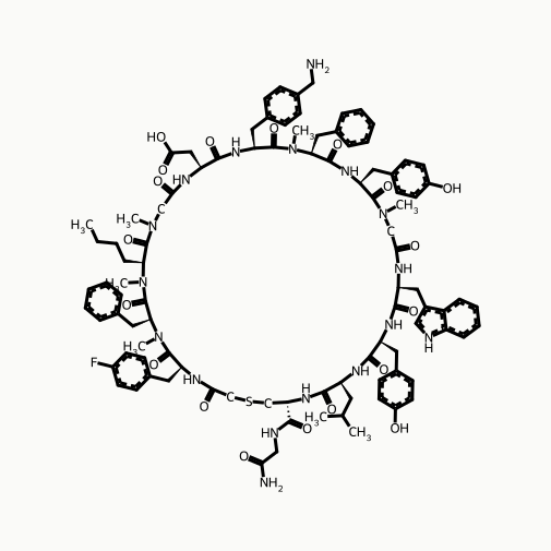 CCCC[C@H]1C(=O)N(C)CC(=O)N[C@@H](CC(=O)O)C(=O)N[C@@H](Cc2ccc(CN)cc2)C(=O)N(C)[C@@H](Cc2ccccc2)C(=O)N[C@@H](Cc2ccc(O)cc2)C(=O)N(C)CC(=O)N[C@@H](Cc2c[nH]c3ccccc23)C(=O)N[C@@H](Cc2ccc(O)cc2)C(=O)N[C@@H](CC(C)C)C(=O)N[C@H](C(=O)NCC(N)=O)CSCC(=O)N[C@@H](Cc2ccc(F)cc2)C(=O)N(C)[C@@H](Cc2ccccc2)C(=O)N1C